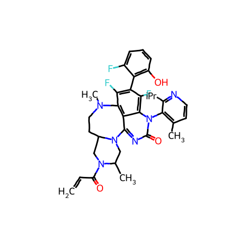 C=CC(=O)N1CC2CCN(C)c3c(F)c(-c4c(O)cccc4F)c(F)c4c3c(nc(=O)n4-c3c(C)ccnc3C(C)C)N2CC1C